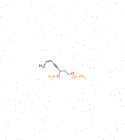 C/C=C\C#CC(CCOPP)OP